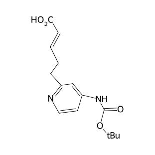 CC(C)(C)OC(=O)Nc1ccnc(CCC=CC(=O)O)c1